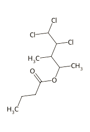 CCCC(=O)OC(C)C(C)C(Cl)C(Cl)Cl